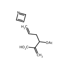 C1=CN=C1.C=CCC(OC(C)=O)C(=C)C(=O)O